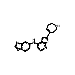 C1=C(c2cc3c(Nc4ccc5scnc5c4)ccnc3s2)CCNCC1